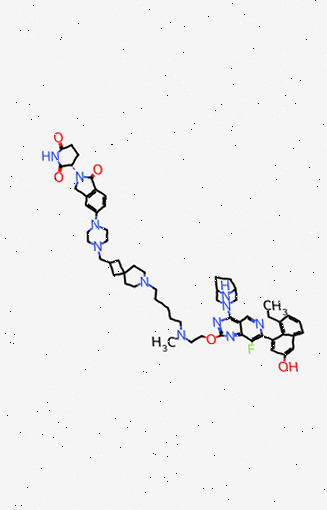 CCc1cccc2cc(O)cc(-c3ncc4c(N5CC6CCC(C5)N6)nc(OCCN(C)CCCCCN5CCC6(CC5)CC(CN5CCN(c7ccc8c(c7)CN([C@H]7CCC(=O)NC7=O)C8=O)CC5)C6)nc4c3F)c12